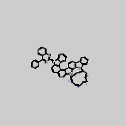 C1=C\C=c2/cccc(n3c4ccccc4c4ccc5c6c7c(ccc8c7c7ccccc7n8-c7nc(-c8ccccc8)c8ccccc8n7)ccc6n2c5c43)/C=C/C=C/1